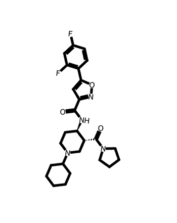 O=C(N[C@@H]1CCN(C2CCCCC2)C[C@H]1C(=O)N1CCCC1)c1cc(-c2ccc(F)cc2F)on1